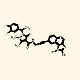 Cc1nc2cnc3ccc(C#CCNC(=O)c4c(C)n(C)n(C(C)c5ccc(F)c(F)c5)c4=O)cc3c2n1C(C)C